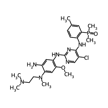 COc1cc(N(C)CCN(C)C)c(N)cc1Nc1ncc(Cl)c(Nc2ccc(C)cc2P(C)(C)=O)n1